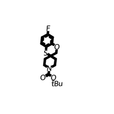 CC(C)(C)OC(=O)N1CCC2(CC1)COc1cc(F)ccc1S2